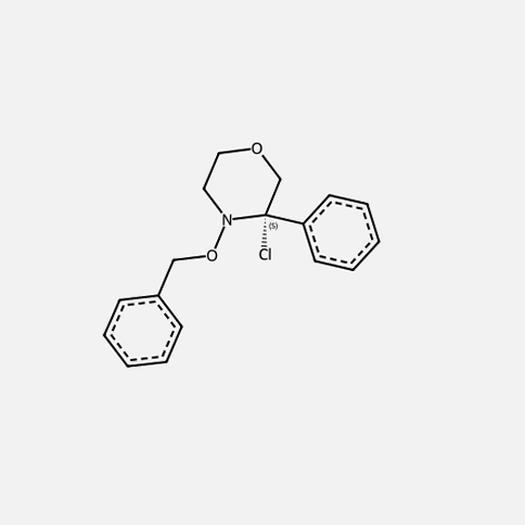 Cl[C@@]1(c2ccccc2)COCCN1OCc1ccccc1